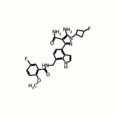 COc1ccc(F)cc1C(=O)NCc1ccc(-c2nn(C3CC(F)C3)c(N)c2C(N)=O)c2cc[nH]c12